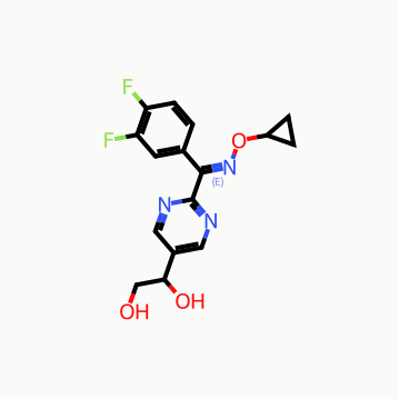 OCC(O)c1cnc(/C(=N/OC2CC2)c2ccc(F)c(F)c2)nc1